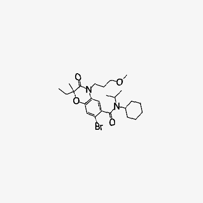 CCC1(C)Oc2cc(Br)c(C(=O)N(C(C)C)C3CCCCC3)cc2N(CCCOC)C1=O